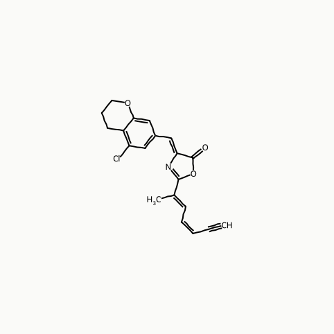 C#C/C=C\C=C(/C)C1=N/C(=C\c2cc(Cl)c3c(c2)OCCC3)C(=O)O1